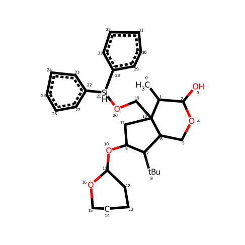 CC1C(O)OCC2C(C(C)(C)C)C(OC3CCCCO3)CC12CO[SiH](c1ccccc1)c1ccccc1